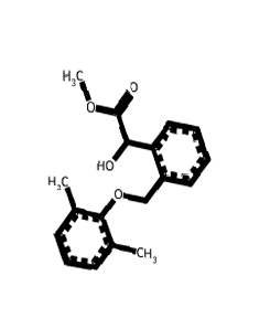 COC(=O)C(O)c1ccccc1COc1c(C)cccc1C